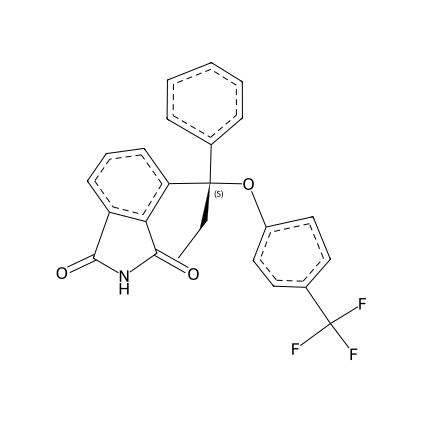 CC[C@](Oc1ccc(C(F)(F)F)cc1)(c1ccccc1)c1cccc2c1C(=O)NC2=O